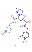 Cc1cc(CNC(=O)c2cc(C(=O)NC[C@H]3CCN(Cl)C3)n3ncnc3n2)ccc1F